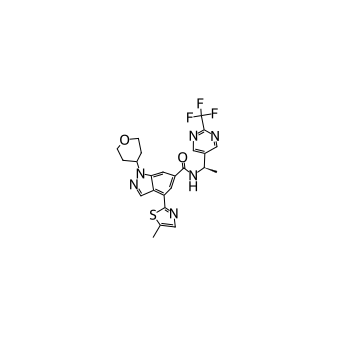 Cc1cnc(-c2cc(C(=O)N[C@H](C)c3cnc(C(F)(F)F)nc3)cc3c2cnn3C2CCOCC2)s1